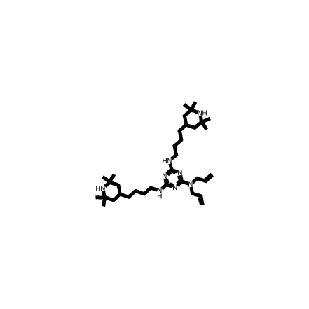 C=CCN(CC=C)c1nc(NCCCCC2CC(C)(C)NC(C)(C)C2)nc(NCCCCC2CC(C)(C)NC(C)(C)C2)n1